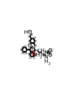 NC(=O)[C@@H](CCCNC(N)=N[N+](=O)[O-])N(Cc1ccc(CCO)cc1)C(=O)C(c1ccccc1)c1ccccc1